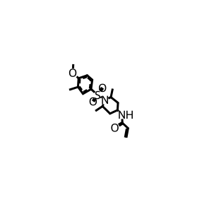 C=CC(=O)NC1CC(C)N(S(=O)(=O)c2ccc(OC)c(C)c2)C(C)C1